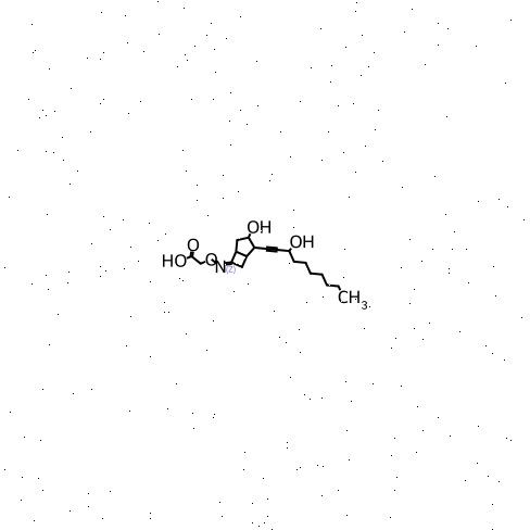 CCCCCCCC(O)C#CC1C(O)CC2/C(=N\OCC(=O)O)CC21